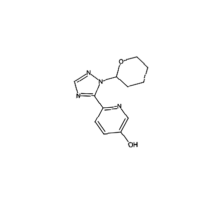 Oc1ccc(-c2ncnn2C2CCCCO2)nc1